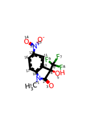 CN1C(=O)C(O)(C(F)(F)F)c2cc([N+](=O)[O-])ccc21